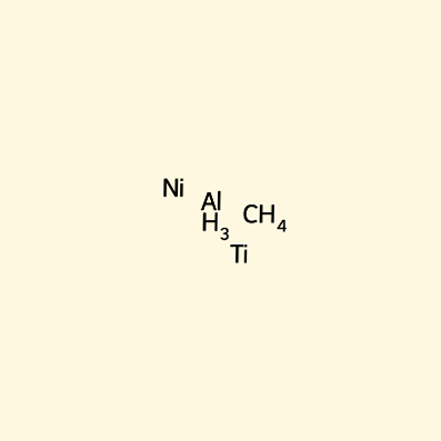 C.[AlH3].[Ni].[Ti]